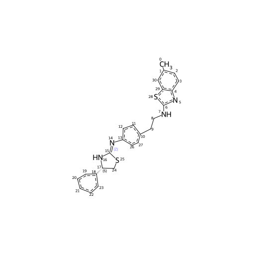 Cc1ccc2nc(NCCc3ccc(/N=C4/N[C@@H](c5ccccc5)CS4)cc3)sc2c1